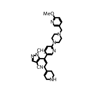 COc1ccc(CN2CCN(c3ccc(/C(=C/CC4=CCNCC4)c4c(C#N)cnn4C)cn3)CC2)cn1